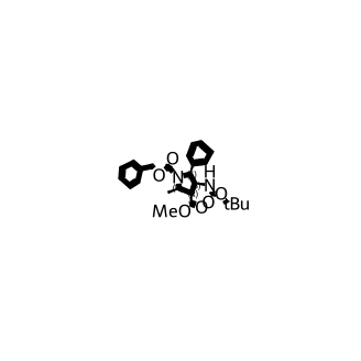 COC(=O)[C@@H]1[C@H](NC(=O)OC(C)(C)C)[C@H](c2ccccc2)N(C(=O)OCc2ccccc2)[C@@H]1C